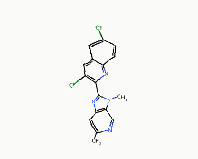 Cn1c(-c2nc3ccc(Cl)cc3cc2Cl)nc2cc(C(F)(F)F)ncc21